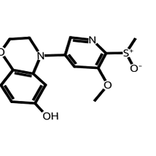 COc1cc(N2CCOc3ccc(O)cc32)cnc1[S+](C)[O-]